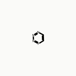 c1cpnnn1